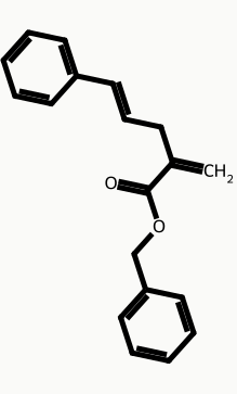 C=C(CC=Cc1ccccc1)C(=O)OCc1ccccc1